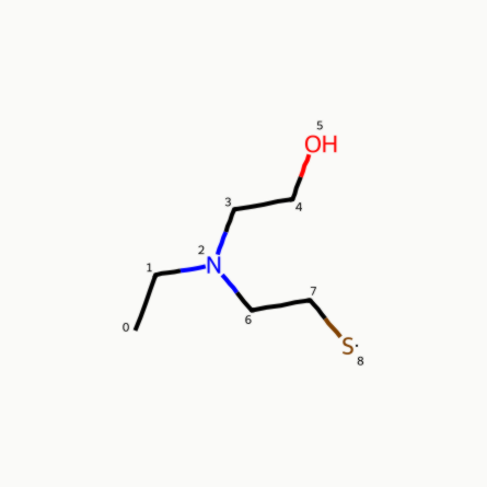 CCN(CCO)CC[S]